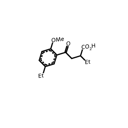 CCc1ccc(OC)c(C(=O)CC(CC)C(=O)O)c1